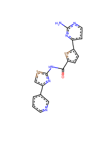 Nc1nccc(-c2ccc(C(=O)Nc3nc(-c4cccnc4)cs3)s2)n1